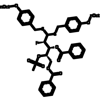 CCCCCCCCOc1ccc(CSC(SCc2ccc(OCCCCCCCC)cc2)[C@@H](F)[C@H](OC(=O)c2ccccc2)[C@H](COC(=O)c2ccccc2)OS(C)(=O)=O)cc1